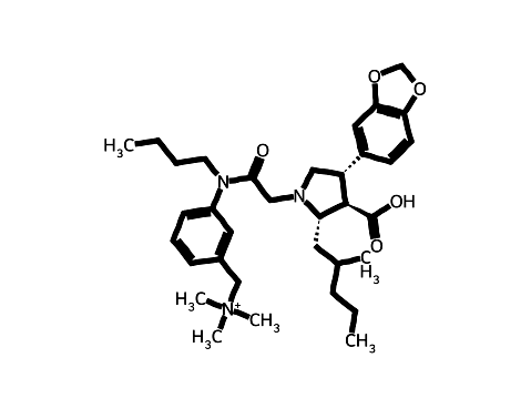 CCCCN(C(=O)CN1C[C@H](c2ccc3c(c2)OCO3)[C@@H](C(=O)O)[C@@H]1CC(C)CCC)c1cccc(C[N+](C)(C)C)c1